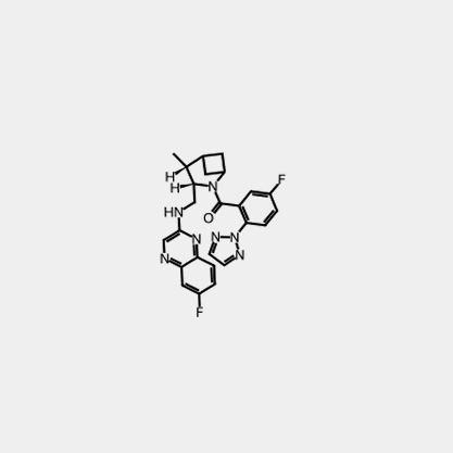 C[C@@H]1C2CC(C2)N(C(=O)c2cc(F)ccc2-n2nccn2)[C@@H]1CNc1cnc2cc(F)ccc2n1